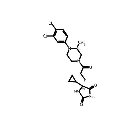 C[C@H]1CN(C(=O)CC[C@@]2(C3CC3)NC(=O)NC2=O)CCN1c1ccc(Cl)c(Cl)c1